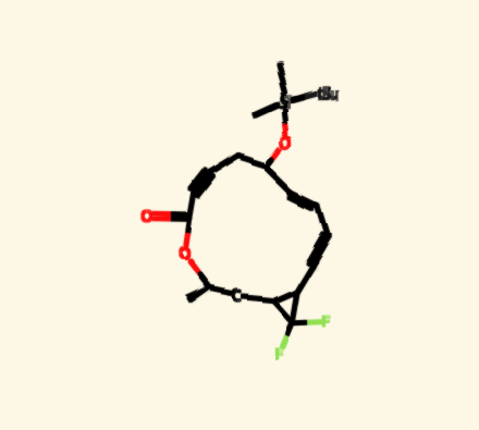 C[C@@H]1CC2C(/C=C\C=C\C(O[Si](C)(C)C(C)(C)C)CC#CC(=O)O1)C2(F)F